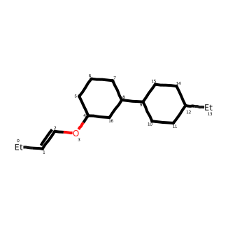 CC/C=C/OC1CCCC(C2CCC(CC)CC2)C1